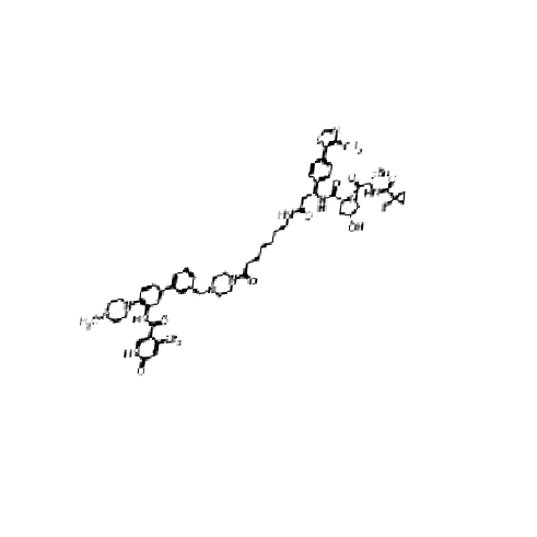 Cc1ncsc1-c1ccc([C@H](CC(=O)NCCCCCCC(=O)N2CCN(Cc3cccc(-c4ccc(N5CCN(C)CC5)c(NC(=O)c5c[nH]c(=O)cc5C(F)(F)F)c4)c3)CC2)NC(=O)[C@@H]2C[C@@H](O)CN2C(=O)[C@@H](NC(=O)C2(F)CC2)C(C)(C)C)cc1